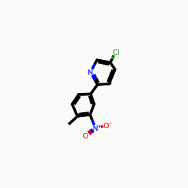 Cc1ccc(-c2[c]cc(Cl)cn2)cc1[N+](=O)[O-]